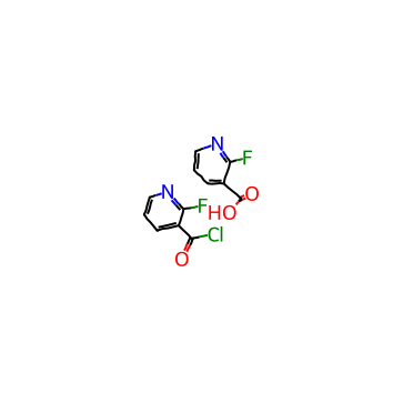 O=C(Cl)c1cccnc1F.O=C(O)c1cccnc1F